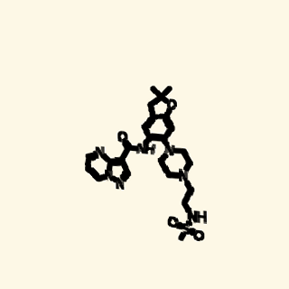 CC1(C)Cc2cc(NC(=O)c3cnn4cccnc34)c(N3CCN(CCNS(C)(=O)=O)CC3)cc2O1